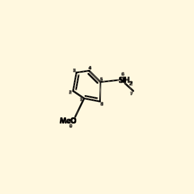 COc1cccc([SiH2]C)c1